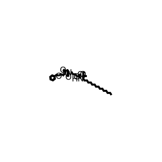 CCCCCCCCCCCCCCCC(NC(=O)OCCCN1CC(=O)N(CCOCc2ccccc2)C1=O)C(C)OC